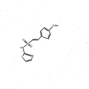 COc1ccc(C=CS(=O)(=O)Nc2nccs2)cc1